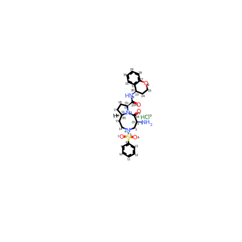 Cl.N[C@H]1CN(S(=O)(=O)c2ccccc2)CC[C@H]2CC[C@@H](C(=O)N[C@@H]3CCOc4ccccc43)N2C1=O